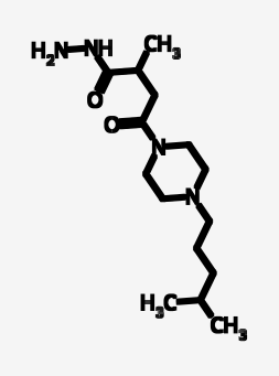 CC(C)CCCN1CCN(C(=O)CC(C)C(=O)NN)CC1